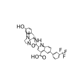 O=C(N[C@@H](Cc1ccc(O)cc1)C1=NCCN1)c1cc(C(=O)O)c2cc(-c3cccc(C(F)(F)F)c3)ccc2n1